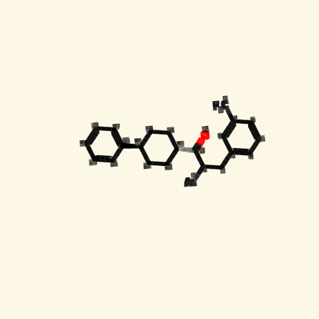 CC(=O)C(Cc1cccc(C(F)(F)F)c1)C(=O)[C@H]1CC[C@H](c2ccccc2)CC1